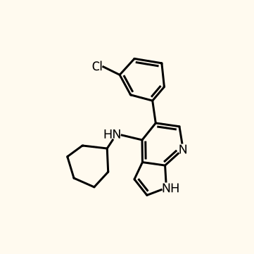 Clc1cccc(-c2cnc3[nH]ccc3c2NC2CCCCC2)c1